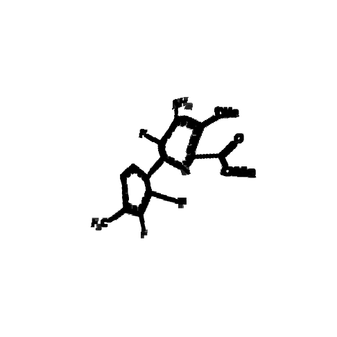 COC(=O)c1nc(-c2ccc(C(F)(F)F)c(F)c2F)c(F)c(N)c1OC